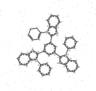 C1=CCCC(n2c(-c3cc(-c4nc5ccccc5n4-c4ccccc4)cc(-c4nc5ccccc5n4-c4ccccc4)c3)nc3ccccc32)=C1